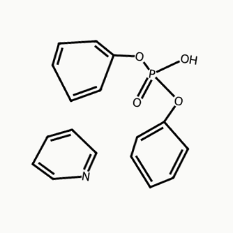 O=P(O)(Oc1ccccc1)Oc1ccccc1.c1ccncc1